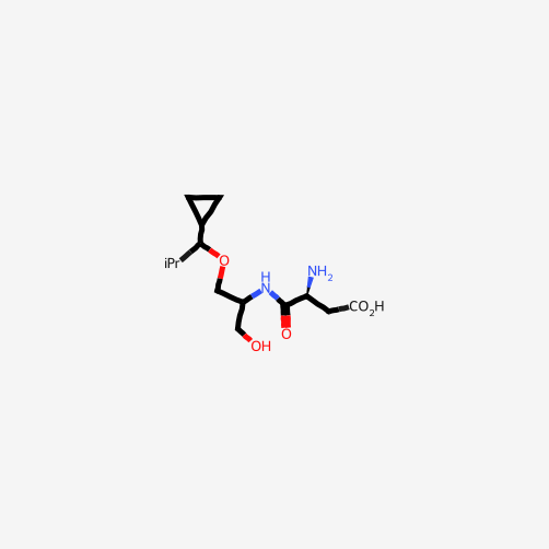 CC(C)C(OCC(CO)NC(=O)[C@@H](N)CC(=O)O)C1CC1